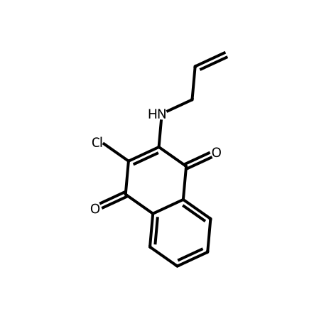 C=CCNC1=C(Cl)C(=O)c2ccccc2C1=O